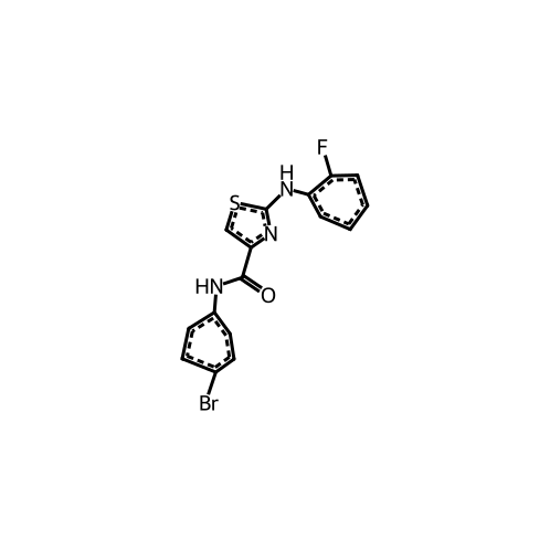 O=C(Nc1ccc(Br)cc1)c1csc(Nc2ccccc2F)n1